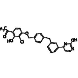 CC(=O)c1ccc(OCc2ccc(Cc3cccc(-c4ccnc(O)n4)c3)cc2)c(Cl)c1O